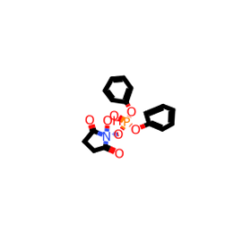 O=C1CCC(=O)[N+]1(O)OP(=O)(Oc1ccccc1)Oc1ccccc1